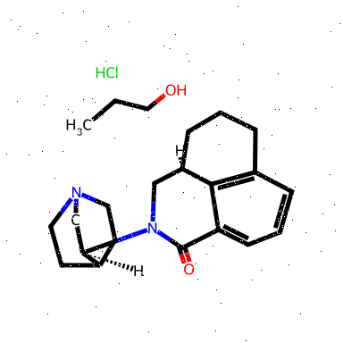 CCCO.Cl.O=C1c2cccc3c2[C@H](CCC3)CN1[C@@H]1CN2CCC1CC2